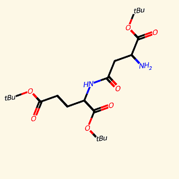 CC(C)(C)OC(=O)CCC(NC(=O)CC(N)C(=O)OC(C)(C)C)C(=O)OC(C)(C)C